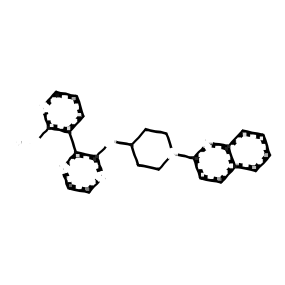 COc1ncccc1-c1nccnc1OC1CCN(c2ccc3ccccc3n2)CC1